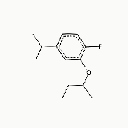 CCC(C)Oc1cc(C(C)C)ccc1F